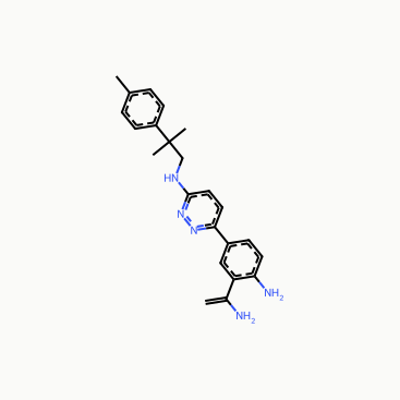 C=C(N)c1cc(-c2ccc(NCC(C)(C)c3ccc(C)cc3)nn2)ccc1N